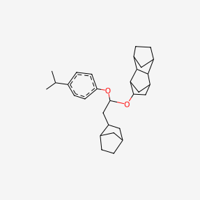 CC(C)c1ccc(OC(CC2CC3CCC2C3)OC2CC3CC2C2C4CCC(C4)C32)cc1